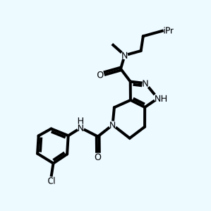 CC(C)CCN(C)C(=O)c1n[nH]c2c1CN(C(=O)Nc1cccc(Cl)c1)CC2